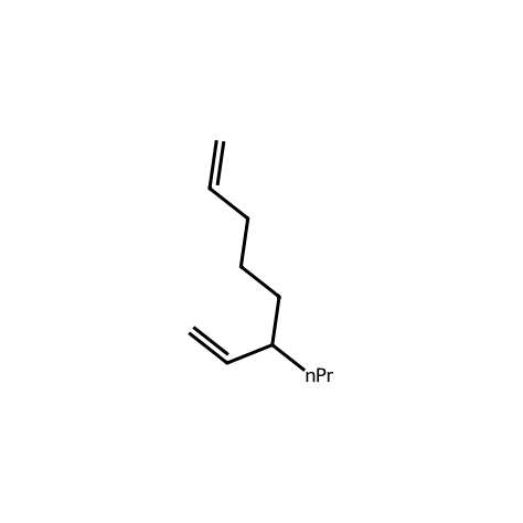 C=CCCCC(C=C)CCC